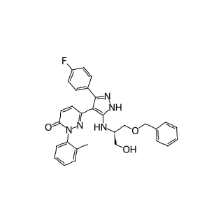 Cc1ccccc1-n1nc(-c2c(-c3ccc(F)cc3)n[nH]c2N[C@H](CO)COCc2ccccc2)ccc1=O